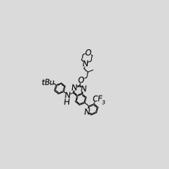 CC(COc1nc(Nc2ccc(C(C)(C)C)cc2)c2ccc(-c3ncccc3C(F)(F)F)cc2n1)CN1CCOCC1